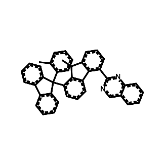 Cc1ccccc1C1(c2cccc3c2C(C)c2cccc(-c4ncc5ccccc5n4)c2-3)c2ccccc2-c2ccccc21